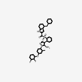 Cc1cc(Oc2cccc(F)c2F)ccc1-n1ncc(-c2ccccc2S(=O)(=O)C(=O)c2cc3c(Cc4ccccc4)cccc3[nH]2)c1N